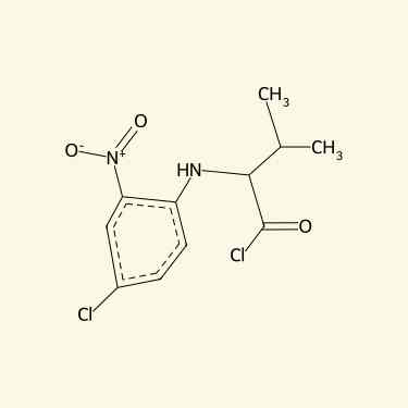 CC(C)C(Nc1ccc(Cl)cc1[N+](=O)[O-])C(=O)Cl